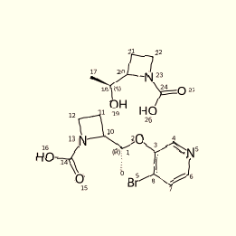 C[C@@H](Oc1cnccc1Br)C1CCN1C(=O)O.C[C@H](O)C1CCN1C(=O)O